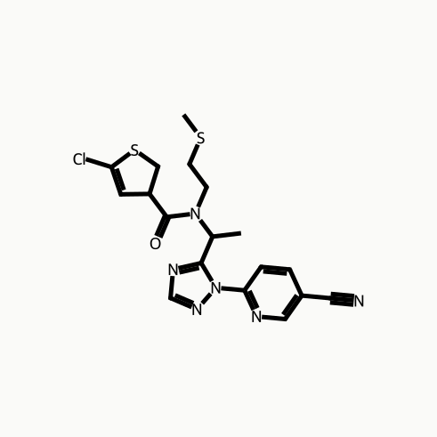 CSCCN(C(=O)C1C=C(Cl)SC1)C(C)c1ncnn1-c1ccc(C#N)cn1